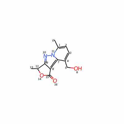 Cc1ccc(CO)c2c3c(nn12)C(C)OC3=O